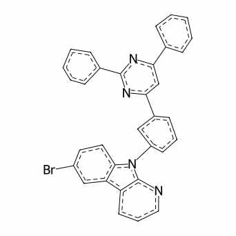 Brc1ccc2c(c1)c1cccnc1n2-c1cccc(-c2cc(-c3ccccc3)nc(-c3ccccc3)n2)c1